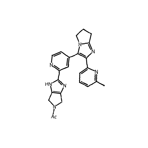 CC(=O)N1Cc2nc(-c3cc(-c4c(-c5cccc(C)n5)nc5n4CCC5)ccn3)[nH]c2C1